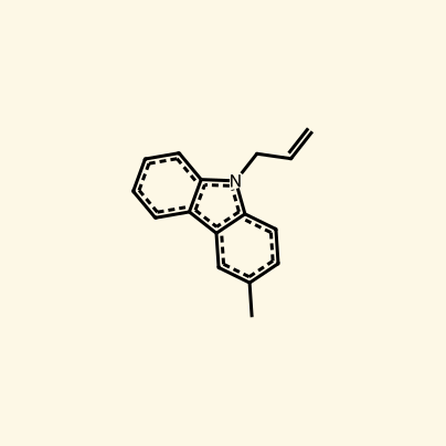 C=CCn1c2ccccc2c2cc(C)ccc21